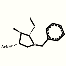 CC(=O)N[C@H]1CN(Cc2ccccc2)[C@@H](CI)[C@@H]1C